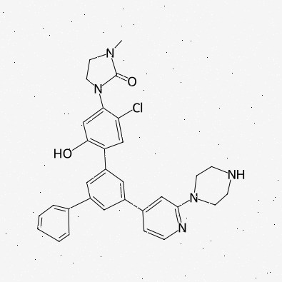 CN1CCN(c2cc(O)c(-c3cc(-c4ccccc4)cc(-c4ccnc(N5CCNCC5)c4)c3)cc2Cl)C1=O